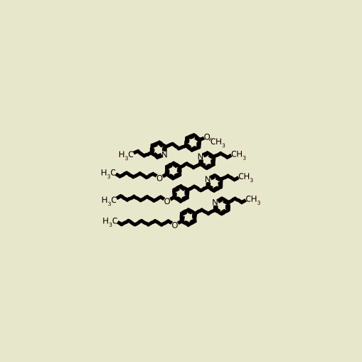 CCCCCCCCCOc1ccc(CCc2ccc(CCC)cn2)cc1.CCCCCCCCOc1ccc(CCc2ccc(CCC)cn2)cc1.CCCCCCCOc1ccc(CCc2ccc(CCC)cn2)cc1.CCCc1ccc(CCc2ccc(OC)cc2)nc1